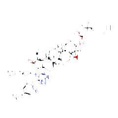 CNCCn1c(-c2ccc(C#N)cn2)nnc1[C@@]12CC[C@]3(C)[C@H](CC[C@@H]4[C@@]5(C)CC[C@H](OC(=O)CC(C)(C)C(=O)O)C(C)(C)[C@@H]5CC[C@]43C)C1=C(C(C)C)C(=O)C2